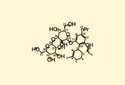 C=C(C)[C@@H]1CCC(C)=C[C@H]1c1c(O)cc(CCC)cc1O[C@@H]1O[C@H](CO)[C@@H](O)[C@H](O[C@@H]2O[C@H](CO)[C@@H](O)[C@H](O)[C@H]2O)[C@H]1O